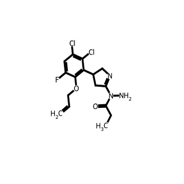 C=CCOc1c(F)cc(Cl)c(Cl)c1C1CN=C(N(N)C(=O)CC)C1